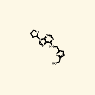 OCc1ccc(CNc2ncnc3c2ncn3C2CCCO2)o1